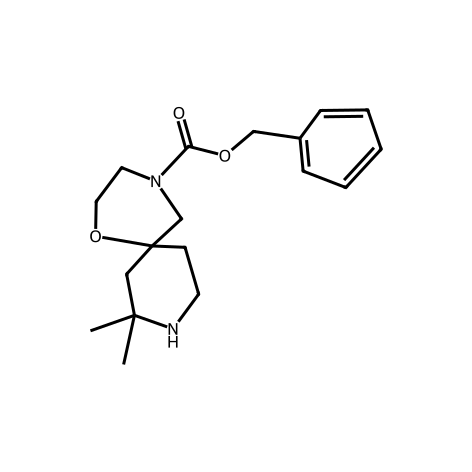 CC1(C)CC2(CCN1)CN(C(=O)OCc1ccccc1)CCO2